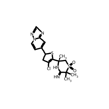 CC1(C)C(=N)N[C@](C)(C2=C(Cl)CC(c3ccn4ncnc4c3)S2)CS1(=O)=O